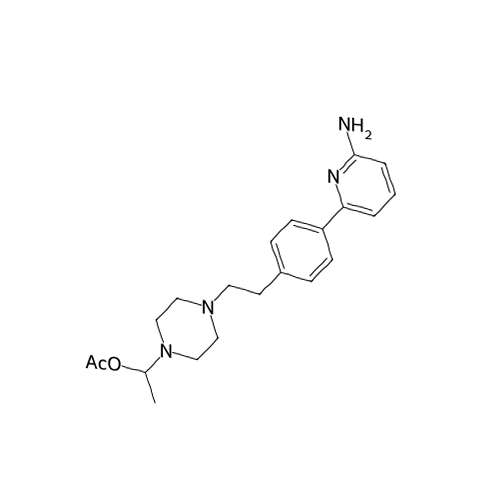 CC(=O)OC(C)N1CCN(CCc2ccc(-c3cccc(N)n3)cc2)CC1